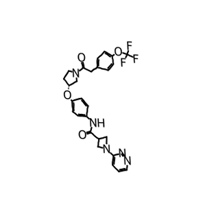 O=C(Nc1ccc(O[C@@H]2CCN(C(=O)Cc3ccc(OC(F)(F)F)cc3)C2)cc1)C1CN(c2cccnn2)C1